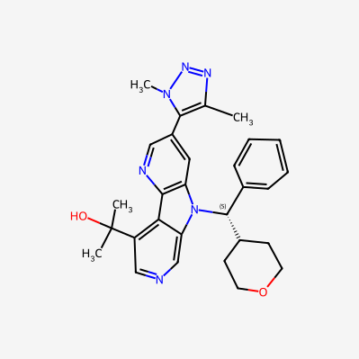 Cc1nnn(C)c1-c1cnc2c3c(C(C)(C)O)cncc3n([C@H](c3ccccc3)C3CCOCC3)c2c1